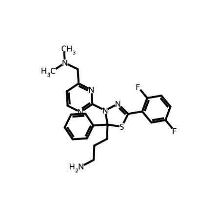 CN(C)Cc1ccnc(N2N=C(c3cc(F)ccc3F)SC2(CCCN)c2ccccc2)n1